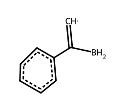 BC(=[CH])c1ccccc1